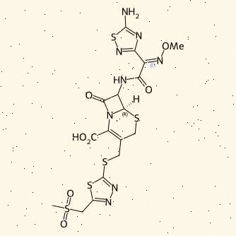 CO/N=C(/C(=O)NC1C(=O)N2C(C(=O)O)=C(CSc3nnc(CS(C)(=O)=O)s3)CS[C@H]12)c1nsc(N)n1